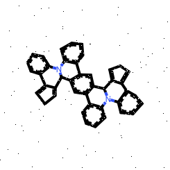 C1=C2C(=CC1)C1c3cc4c(cc3-c3ccccc3N1c1ccccc12)C1C2=CCC=C2c2ccccc2N1c1ccccc1-4